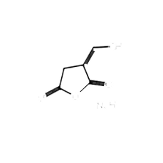 CC=C1CC(=O)OC1=O.[NaH]